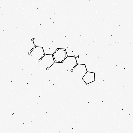 O=C(CC1CCCC1)Nc1ccc(C(=O)C[N+](=O)[O-])c(Cl)c1